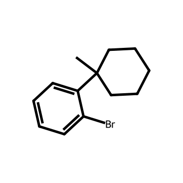 CC1(c2ccccc2Br)CCCCC1